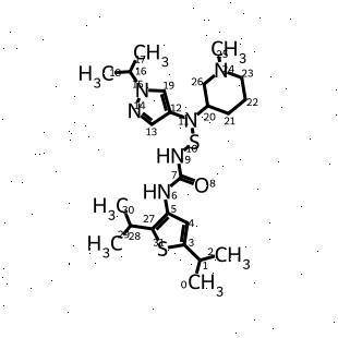 CC(C)c1cc(NC(=O)NSN(c2cnn(C(C)C)c2)C2CCCN(C)C2)c(C(C)C)s1